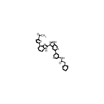 CC(=O)c1ccc(-c2cccc3[nH]c(-c4n[nH]c5cnc(-c6cncc(NC(=O)Cc7ccccc7)c6)cc45)nc23)s1